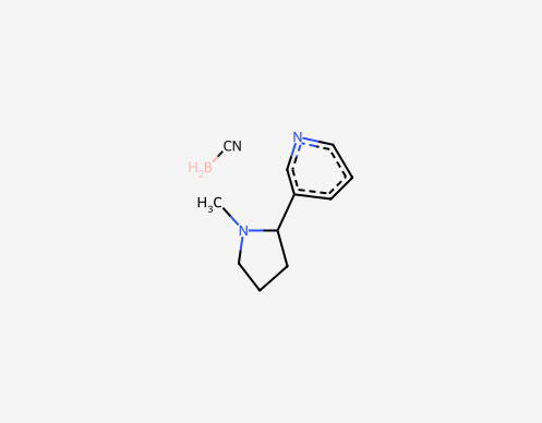 BC#N.CN1CCCC1c1cccnc1